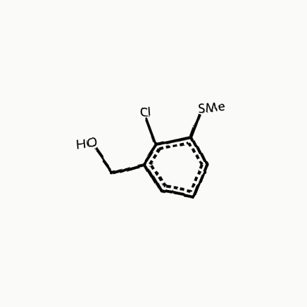 CSc1cccc(CO)c1Cl